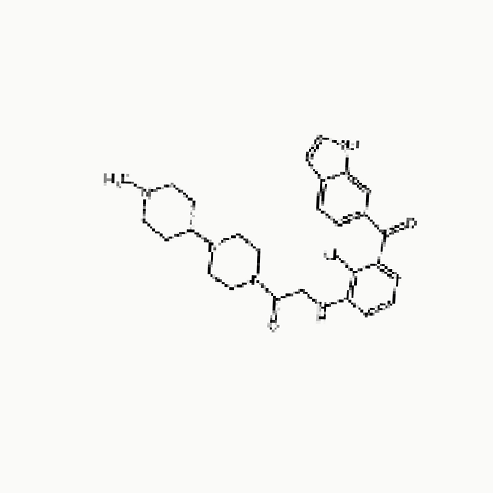 CN1CCC(N2CCN(C(=O)CNc3cccc(C(=O)c4ccc5cc[nH]c5c4)c3Cl)CC2)CC1